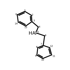 c1ccc([CH2][AlH][CH2]c2ccccc2)cc1